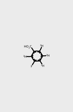 [2H]c1c([2H])c(F)c([2H])c(C(=O)O)c1[2H]